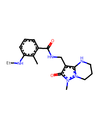 CCNc1cccc(C(=O)NCc2c3n(n(C)c2=O)CCCN3)c1C